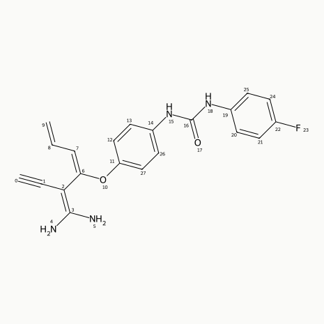 C#CC(=C(N)N)/C(=C\C=C)Oc1ccc(NC(=O)Nc2ccc(F)cc2)cc1